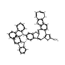 CC1=CC2=C(/C=C3\C(=C\c4c2ccc2c5c(sc42)C=CC=CC5)Cc2cc(N(c4ccccc4-c4ccccc4)c4cccc5c4Cc4ccccc4-5)ccc23)C1